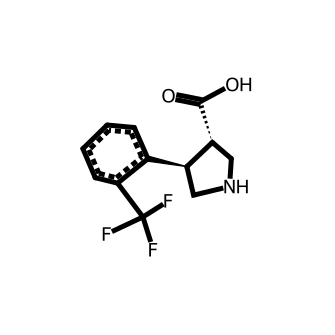 O=C(O)[C@@H]1CNC[C@H]1c1ccccc1C(F)(F)F